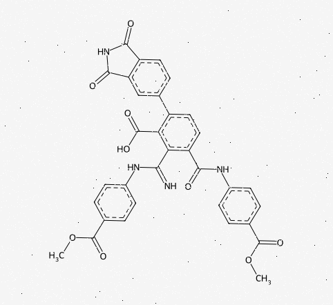 COC(=O)c1ccc(NC(=N)c2c(C(=O)Nc3ccc(C(=O)OC)cc3)ccc(-c3ccc4c(c3)C(=O)NC4=O)c2C(=O)O)cc1